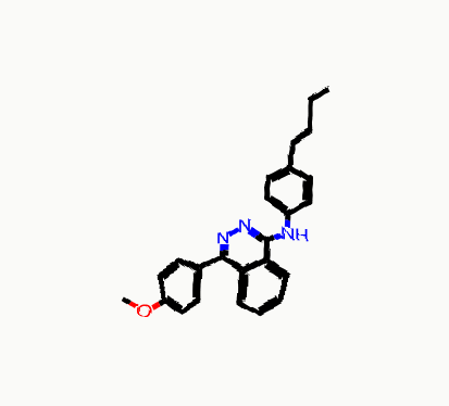 CCCCc1ccc(Nc2nnc(-c3ccc(OC)cc3)c3ccccc23)cc1